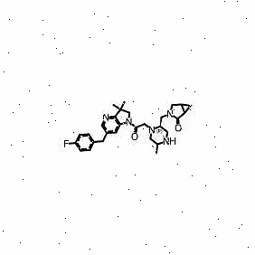 CC1CN(CC(=O)N2CC(C)(C)c3ncc(Cc4ccc(F)cc4)cc32)[C@@H](CN2CC3CC3C2=O)CN1